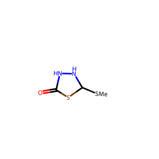 CSC1NNC(=O)S1